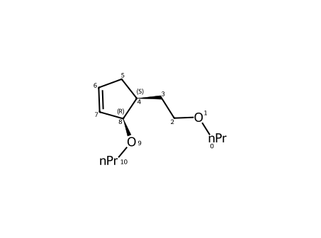 CCCOCC[C@@H]1CC=C[C@@H]1OCCC